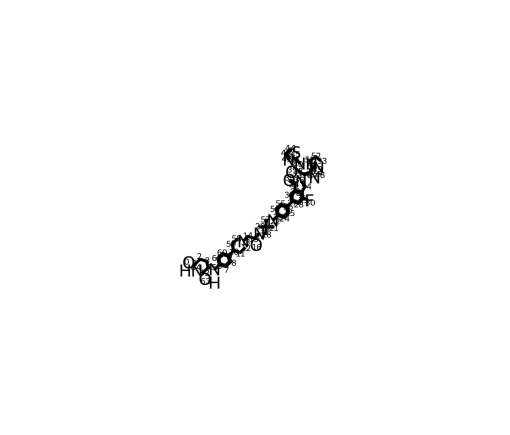 O=C1CCC(Nc2ccc(C3CCN(CC(=O)N4CC5(C4)CN(c4ccc(-c6cc(F)c7c(c6)C(=O)N(C(C(=O)Nc6nccs6)c6ncn8c6CCC8)C7)cc4)C5)CC3)cc2)C(=O)N1